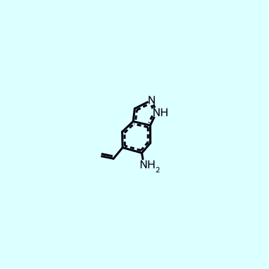 C=Cc1cc2cn[nH]c2cc1N